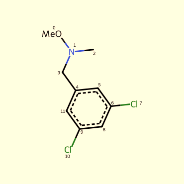 CON(C)Cc1cc(Cl)cc(Cl)c1